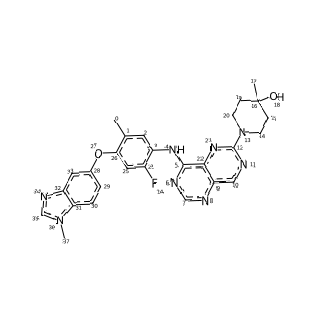 Cc1cc(Nc2ncnc3cnc(N4CCC(C)(O)CC4)nc23)c(F)cc1Oc1ccc2c(c1)ncn2C